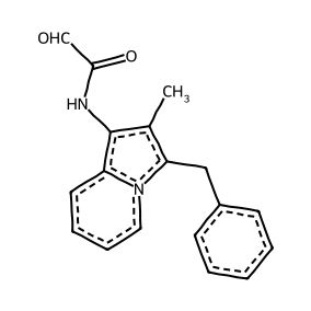 Cc1c(NC(=O)C=O)c2ccccn2c1Cc1ccccc1